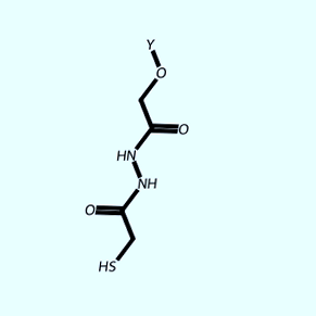 O=C(CS)NNC(=O)C[O][Y]